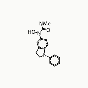 CNC(=O)N(O)c1ccc2c(c1)CCN2c1ccccc1